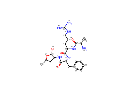 CC1CC(NC(=O)C(Cc2ccccc2)NC(=O)C(CCCNC(=N)N)NC(=O)C(C)N)[C@@H](O)O1